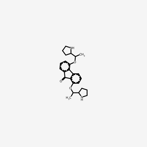 CC(Oc1cccc2c1C(=O)c1cccc(OC(C)C3CCCN3)c1-2)C1CCCN1